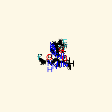 [2H]C([2H])([2H])NC(=O)c1cnc(NC(=O)[C@@H]2C[C@@H]2F)cc1Nc1ncn2ncc(C(C)C(F)(F)F)c2c1OC